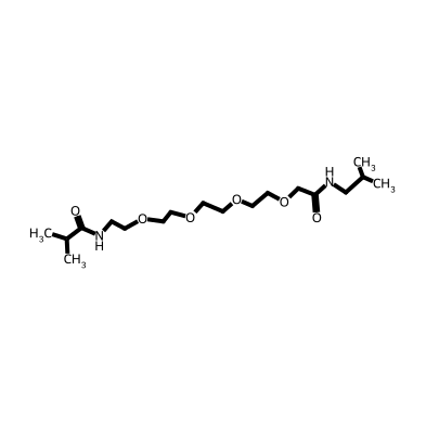 CC(C)CNC(=O)COCCOCCOCCOCCNC(=O)C(C)C